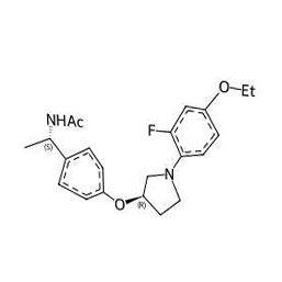 CCOc1ccc(N2CC[C@@H](Oc3ccc([C@H](C)NC(C)=O)cc3)C2)c(F)c1